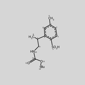 Cc1ccc(S(=O)(=O)O)c(C(C)CNC(=O)OC(C)(C)C)c1